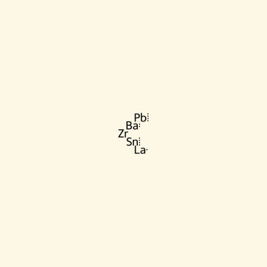 [Ba].[La].[Pb].[Sn].[Zr]